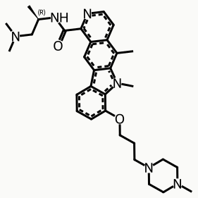 Cc1c2ccnc(C(=O)N[C@H](C)CN(C)C)c2cc2c3cccc(OCCCN4CCN(C)CC4)c3n(C)c12